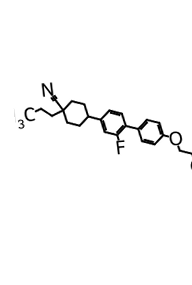 CCCOc1ccc(-c2ccc(C3CCC(C#N)(CCC)CC3)cc2F)cc1